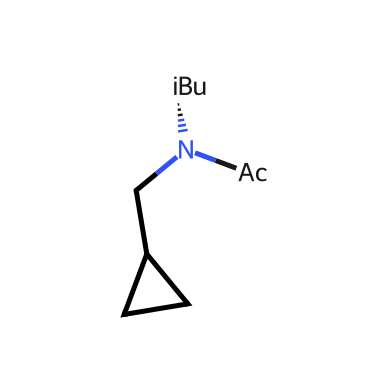 CC[C@@H](C)N(CC1CC1)C(C)=O